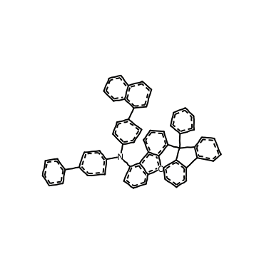 c1ccc(-c2ccc(N(c3ccc(-c4cccc5ccccc45)cc3)c3cccc4oc5c(C6(c7ccccc7)c7ccccc7-c7ccccc76)cccc5c34)cc2)cc1